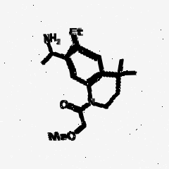 CCc1cc2c(cc1C(C)N)N(C(=O)COC)CCC2(C)C